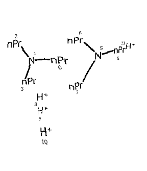 CCCN(CCC)CCC.CCCN(CCC)CCC.[H+].[H+].[H+].[H+]